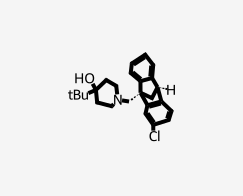 CC(C)(C)C1(O)CCN(C[C@@]23C[C@@H](c4ccccc42)c2ccc(Cl)cc23)CC1